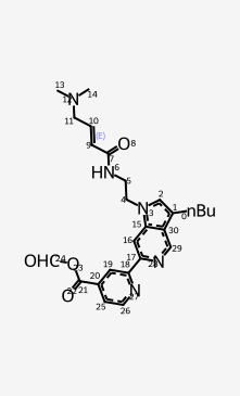 CCCCc1cn(CCNC(=O)/C=C/CN(C)C)c2cc(-c3cc(C(=O)OC=O)ccn3)ncc12